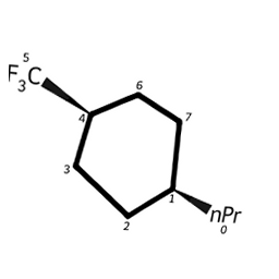 CCC[C@H]1CC[C@@H](C(F)(F)F)CC1